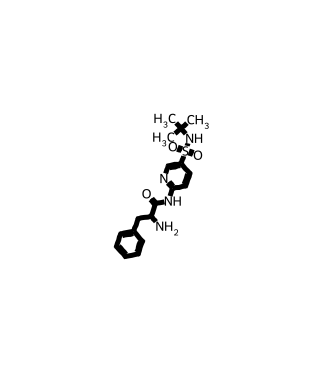 CC(C)(C)NS(=O)(=O)c1ccc(NC(=O)C(N)Cc2ccccc2)nc1